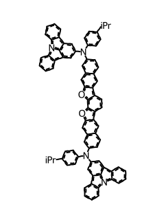 CC(C)c1ccc(N(c2ccc3cc4c(cc3c2)oc2c4ccc3c4cc5ccc(N(c6ccc(C(C)C)cc6)c6cc7c8ccccc8n8c9ccccc9c(c6)c78)cc5cc4oc32)c2cc3c4ccccc4n4c5ccccc5c(c2)c34)cc1